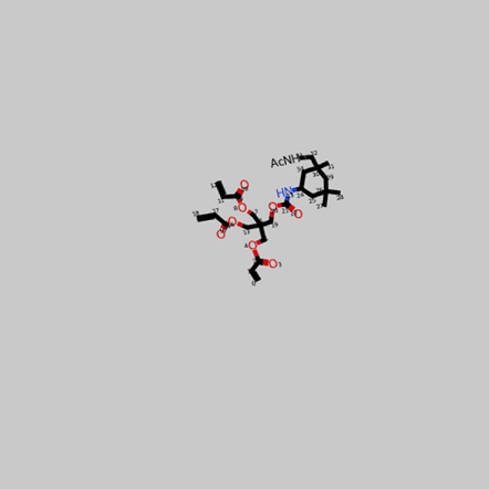 C=CC(=O)OCC(COC(=O)C=C)(COC(=O)C=C)COC(=O)NC1CC(C)(C)CC(C)(CNC(C)=O)C1